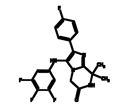 CC1(C)NC(=O)Cn2c1nc(-c1ccc(F)cc1)c2Nc1cc(F)c(F)c(F)c1